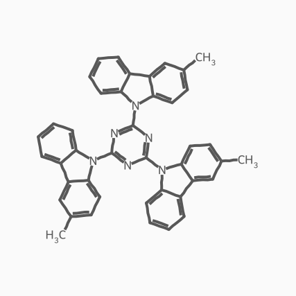 Cc1ccc2c(c1)c1ccccc1n2-c1nc(-n2c3ccccc3c3cc(C)ccc32)nc(-n2c3ccccc3c3cc(C)ccc32)n1